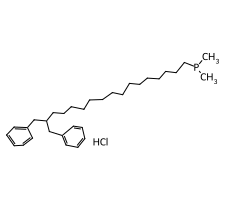 CP(C)CCCCCCCCCCCCCCCC(Cc1ccccc1)Cc1ccccc1.Cl